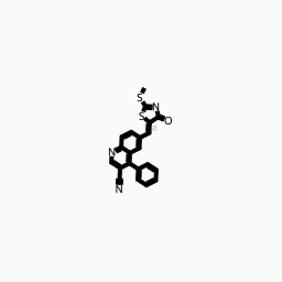 CSC1=NC(=O)/C(=C/c2ccc3ncc(C#N)c(-c4ccccc4)c3c2)S1